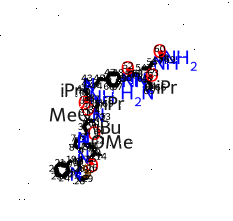 CC[C@H](C)[C@@H]([C@@H](CC(=O)N1CCC[C@H]1[C@H](OC)[C@@H](C)C(=O)N[C@@H](Cc1ccccc1)c1nccs1)OC)N(C)C(=O)[C@@H](NC(=O)[C@H](C(C)C)N(C)CCc1ccc(NC(=O)[C@H](CCCNC(N)=O)NC(=O)[C@@H](N)C(C)C)cc1)C(C)C